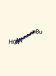 CCCC/C=C/C/C=C/C=C/C=N/N=N/O